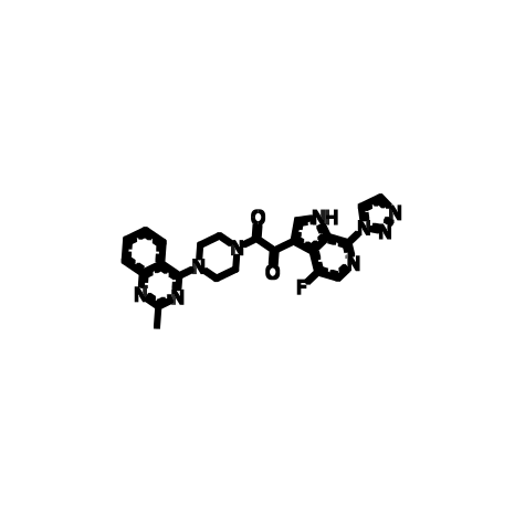 Cc1nc(N2CCN(C(=O)C(=O)c3c[nH]c4c(-n5ccnn5)ncc(F)c34)CC2)c2ccccc2n1